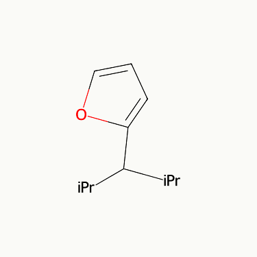 CC(C)C(c1ccco1)C(C)C